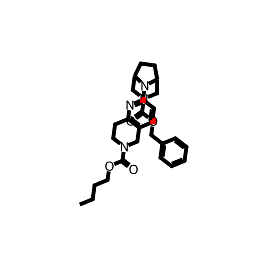 CCCCOC(=O)N1CCc2nc(N3C4CCC3CN(C(=O)OCc3ccccc3)C4)ccc2C1